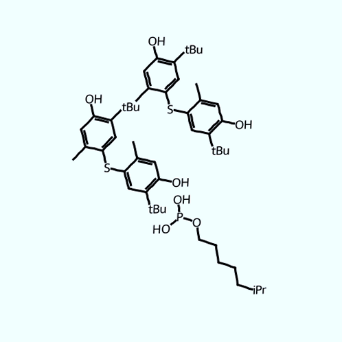 CC(C)CCCCCOP(O)O.Cc1cc(O)c(C(C)(C)C)cc1Sc1cc(C(C)(C)C)c(O)cc1C.Cc1cc(O)c(C(C)(C)C)cc1Sc1cc(C(C)(C)C)c(O)cc1C